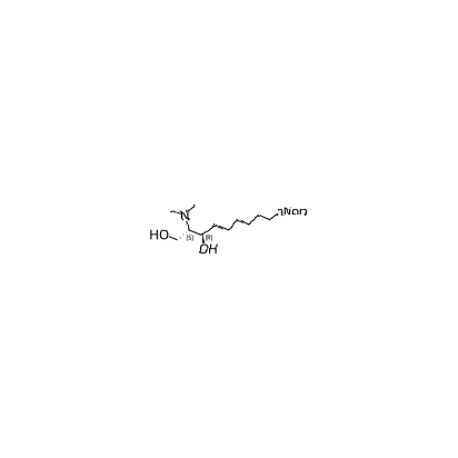 CCCCCCCCCCCCCCC[C@@H](O)[C@H](CO)N(C)C